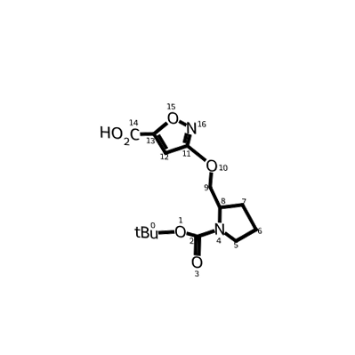 CC(C)(C)OC(=O)N1CCCC1COc1cc(C(=O)O)on1